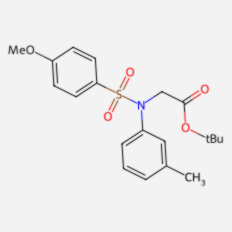 COc1ccc(S(=O)(=O)N(CC(=O)OC(C)(C)C)c2cccc(C)c2)cc1